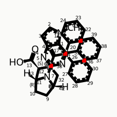 Cn1ccc2nc(N3[C@H]4CC[C@@H]3[C@@H](C(=O)O)N(C(=O)N(c3ccccc3)c3ccccc3)C4)nc(-c3ccccc3)c21